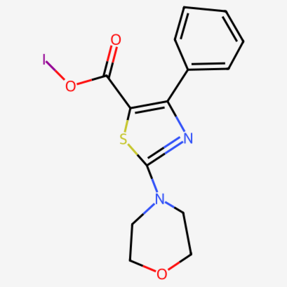 O=C(OI)c1sc(N2CCOCC2)nc1-c1ccccc1